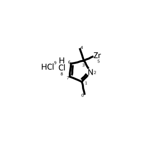 CC1=N[C](C)([Zr])C=C1.Cl.Cl